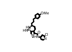 COc1ccc(CCCC2C=Cc3c(cn(C)c3C(=O)Nc3ccnc(Cl)c3)S(=N)N2)cc1